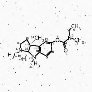 CCN(C)C(=O)Oc1ccc2c(c1)[C@]1(C)CCN(C)[C@@H]1N2C